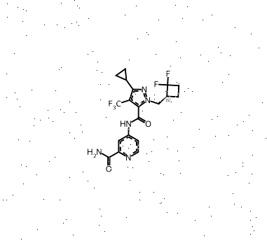 NC(=O)c1cc(NC(=O)c2c(C(F)(F)F)c(C3CC3)nn2C[C@@H]2CCC2(F)F)ccn1